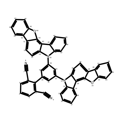 N#Cc1cccc(C#N)c1-c1cc(-n2c3ccccc3c3c4oc5ccccc5c4ccc32)cc(-n2c3ccccc3c3c4oc5ccccc5c4ccc32)c1